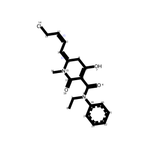 CCN(C(=O)C1=C(O)C/C(=C\C=C/CCl)N(C)C1=O)c1ccccc1